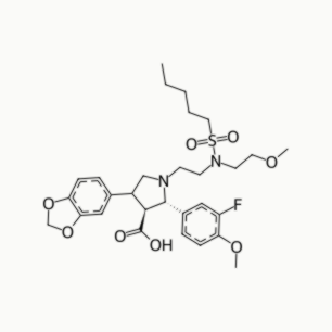 CCCCCS(=O)(=O)N(CCOC)CCN1CC(c2ccc3c(c2)OCO3)[C@H](C(=O)O)[C@H]1c1ccc(OC)c(F)c1